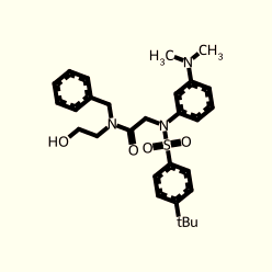 CN(C)c1cccc(N(CC(=O)N(CCO)Cc2ccccc2)S(=O)(=O)c2ccc(C(C)(C)C)cc2)c1